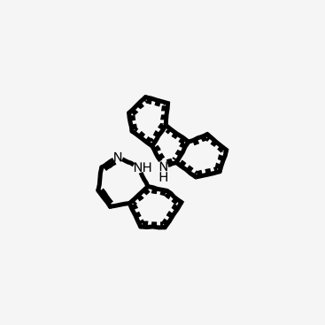 C1=Cc2ccccc2NN=C1.c1ccc2c(c1)[nH]c1ccccc12